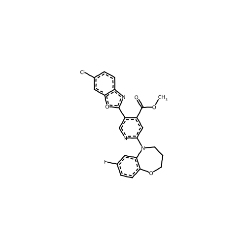 COC(=O)c1cc(N2CCCOc3ccc(F)cc32)ncc1-c1nc2ccc(Cl)cc2o1